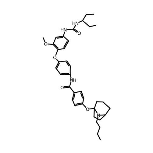 CCCCN1C2CCCC1(Oc1ccc(C(=O)Nc3ccc(Oc4ccc(NC(=O)NC(CC)CC)cc4OC)cc3)cc1)CC2